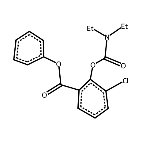 CCN(CC)C(=O)Oc1c(Cl)cccc1C(=O)Oc1ccccc1